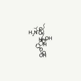 CCCCC[C@@H](CC[C@@H]1[C@H]2Cc3cccc(OCC(=O)O)c3C[C@H]2C[C@H]1O)OC(=O)C(N)C(C)C